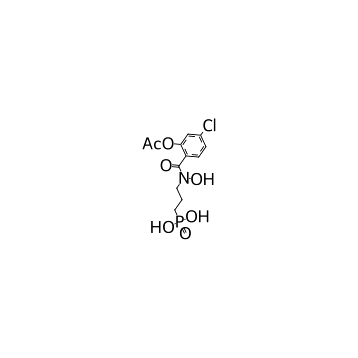 CC(=O)Oc1cc(Cl)ccc1C(=O)N(O)CCCP(=O)(O)O